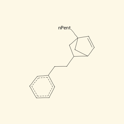 CCCCCC12C=CC(C1)C(CCc1ccccc1)C2